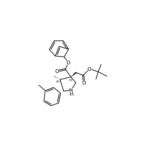 C[C@H]1CNC[C@@]1(CC(=O)OC(C)(C)C)C(=O)OC1C2=CC=CC1=C2.[CH2]c1ccccc1